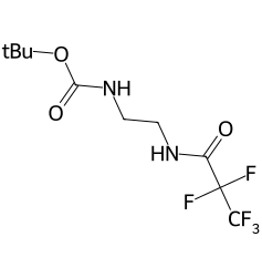 CC(C)(C)OC(=O)NCCNC(=O)C(F)(F)C(F)(F)F